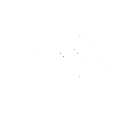 CC(C)(C)OC(=O)N(N)N1CCC(c2ccccc2)C1